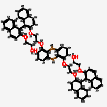 OCCOc1ccc2ccccc2c1-c1c(OCCOc2cccc3c2Sc2cccc(OCCOc4ccc5ccccc5c4-c4c(OCCO)ccc5ccccc45)c2S3)ccc2ccccc12